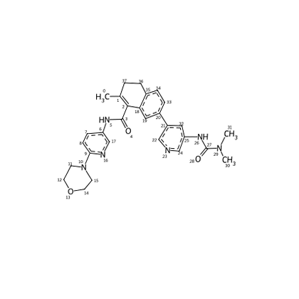 CC1=C(C(=O)Nc2ccc(N3CCOCC3)nc2)c2cc(-c3cncc(NC(=O)N(C)C)c3)ccc2CC1